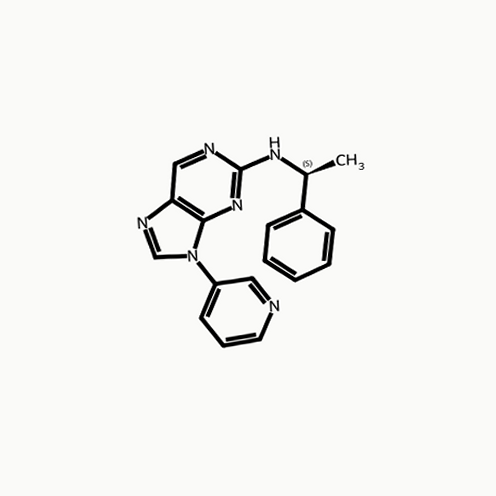 C[C@H](Nc1ncc2ncn(-c3cccnc3)c2n1)c1ccccc1